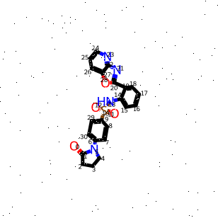 O=C1CCCN1c1ccc(S(=O)(=O)Nc2ccccc2-c2nc3ncccc3o2)cc1